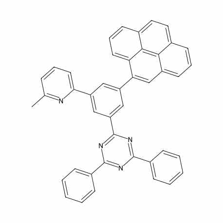 Cc1cccc(-c2cc(-c3nc(-c4ccccc4)nc(-c4ccccc4)n3)cc(-c3cc4cccc5ccc6cccc3c6c54)c2)n1